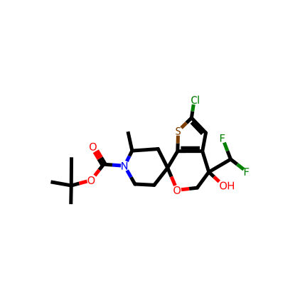 CC1CC2(CCN1C(=O)OC(C)(C)C)OCC(O)(C(F)F)c1cc(Cl)sc12